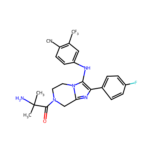 [C-]#[N+]c1ccc(Nc2c(-c3ccc(F)cc3)nc3n2CCN(C(=O)C(C)(C)N)C3)cc1C(F)(F)F